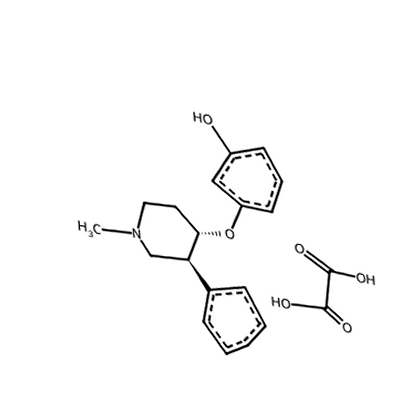 CN1CC[C@H](Oc2cccc(O)c2)[C@@H](c2ccccc2)C1.O=C(O)C(=O)O